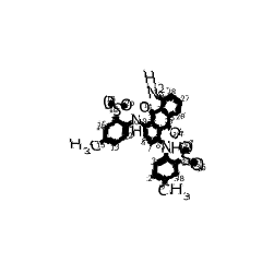 CC1=CC=C(Nc2ccc(NC3=CC=C(C)CC3=S(=O)=O)c3c2C(=O)c2cccc(N)c2C3=O)C(=S(=O)=O)C1